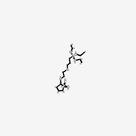 CCO[Si](CCCOCCOC1CCCS1(=O)=O)(OCC)OCC